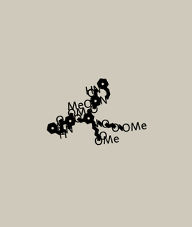 COCCOCCOCCN(CCCC(=O)OC)c1cc(COc2cc3c(cc2OC)C(=O)N2c4ccccc4C[C@H]2C=N3)cc(COc2cc3c(cc2OC)C(=O)Nc2ccccc2CC/C=N\3)c1